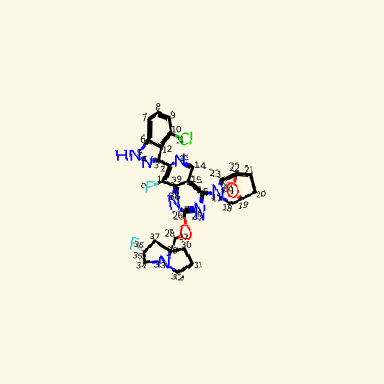 Fc1c(-c2n[nH]c3cccc(Cl)c23)ncc2c(N3CC4CCC(C3)O4)nc(OC[C@@]34CCCN3C[C@H](F)C4)nc12